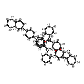 c1ccc(N(c2ccc(-c3ccc(-c4ccc5ccccc5c4)cc3)cc2)c2ccccc2-n2c3ccccc3c3ccccc32)c(-c2ccc3oc4ccccc4c3c2)c1